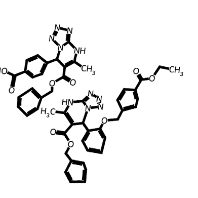 CC1=C(C(=O)OCc2ccccc2)C(c2ccc(C(=O)O)cc2)n2nnnc2N1.CCOC(=O)c1ccc(COc2ccccc2C2C(C(=O)OCc3ccccc3)=C(C)Nc3nnnn32)cc1